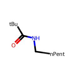 [CH2]CCCCCNC(=O)C(C)(C)C